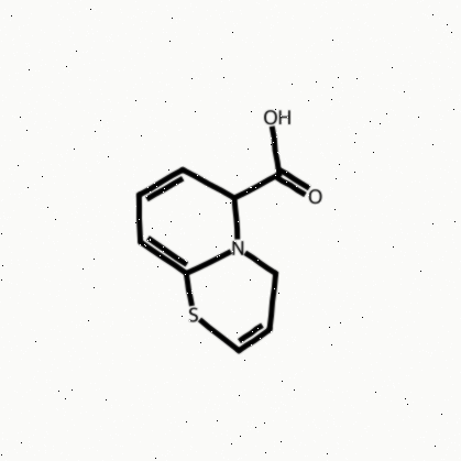 O=C(O)C1C=CC=C2SC=CCN21